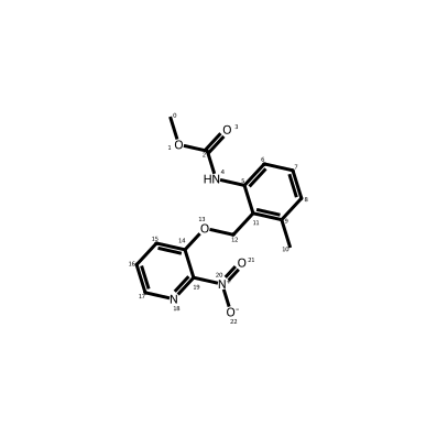 COC(=O)Nc1cccc(C)c1COc1cccnc1[N+](=O)[O-]